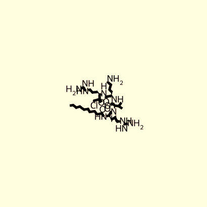 CCCCCCCCCC(=O)N[C@H](CCCNC(=N)N)C(=O)N[C@@H](C(=O)N[C@H](CCCCN)C(=O)N[C@H](CCCNC(=N)N)C(=O)CCl)C(C)C